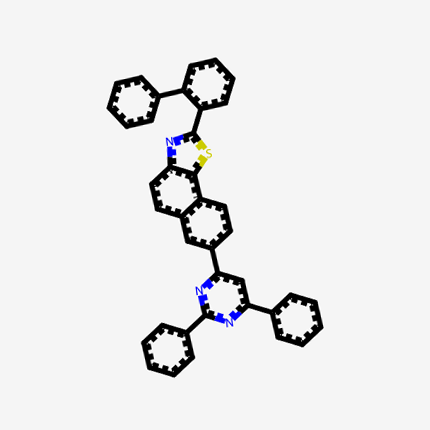 c1ccc(-c2cc(-c3ccc4c(ccc5nc(-c6ccccc6-c6ccccc6)sc54)c3)nc(-c3ccccc3)n2)cc1